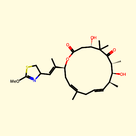 COC1=NC(/C=C(\C)[C@@H]2C/C=C(/C)C/C=C/[C@H](C)[C@H](O)[C@@H](C)C(=O)C(C)(C)[C@@H](O)CC(=O)O2)CS1